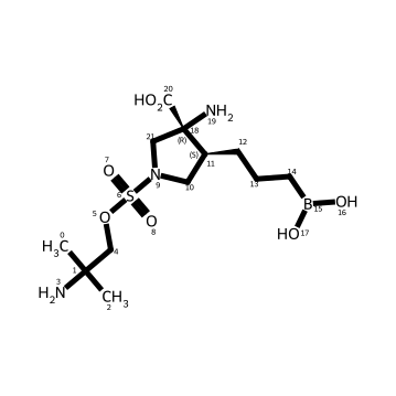 CC(C)(N)COS(=O)(=O)N1C[C@H](CCCB(O)O)[C@](N)(C(=O)O)C1